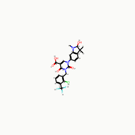 CN1c2cc(-n3cc(C(=O)O)c(=O)n(Cc4cccc(C(F)(F)F)c4Cl)c3=O)ccc2C(C)(C)C1O